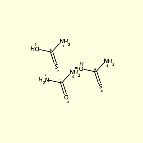 NC(N)=O.NC(O)=S.NC(O)=S